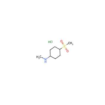 CNC1CCC(S(C)(=O)=O)CC1.Cl